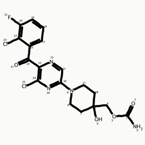 NC(=O)OCC1(O)CCN(c2cnc(C(=O)c3cccc(F)c3Cl)c(Cl)n2)CC1